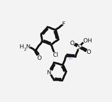 NC(=O)c1ccc(F)cc1Cl.O=S(=O)(O)/C=C/c1cccnc1